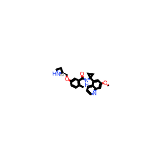 COc1cc(C2(NC(=O)c3cc(OC[C@@H]4CCN4)ccc3C)CC2)c2cccnc2c1